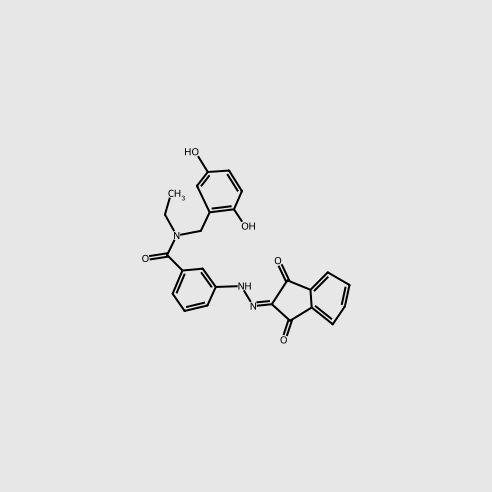 CCN(Cc1cc(O)ccc1O)C(=O)c1cccc(NN=c2c(=O)c3ccccc3c2=O)c1